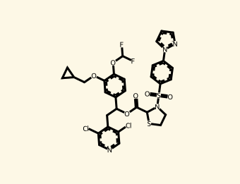 O=C(OC(Cc1c(Cl)cncc1Cl)c1ccc(OC(F)F)c(OCC2CC2)c1)C1SCCN1S(=O)(=O)c1ccc(-n2cccn2)cc1